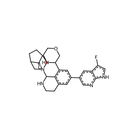 O=C1C2CCC1CN(C1NCCc3cc(-c4cnc5[nH]cc(F)c5c4)cc(C4COCCN4)c31)C2